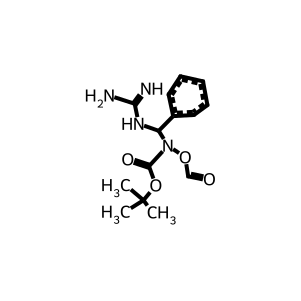 CC(C)(C)OC(=O)N(OC=O)C(NC(=N)N)c1ccccc1